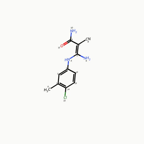 Cc1cc(NC(N)=C(C#N)C(N)=O)ccc1Cl